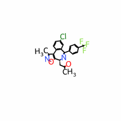 CC(=O)C[C@@H]1N=C(c2ccc(C(F)(F)F)cc2)c2cc(Cl)ccc2-c2c(C)noc21